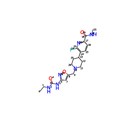 CCNC(=O)Nc1cc(CN2CCC(c3ccc(C(=O)NC)nc3F)CC2)on1